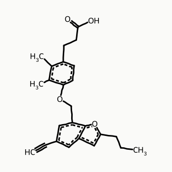 C#Cc1cc(COc2ccc(CCC(=O)O)c(C)c2C)c2oc(CCC)cc2c1